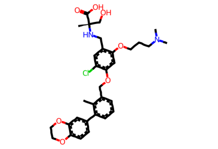 Cc1c(COc2cc(OCCCN(C)C)c(CN[C@@](C)(CO)C(=O)O)cc2Cl)cccc1-c1ccc2c(c1)OCCO2